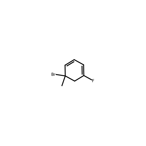 CC1(Br)C=CC=C(F)C1